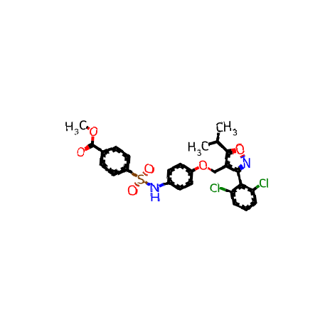 COC(=O)c1ccc(S(=O)(=O)Nc2ccc(OCc3c(-c4c(Cl)cccc4Cl)noc3C(C)C)cc2)cc1